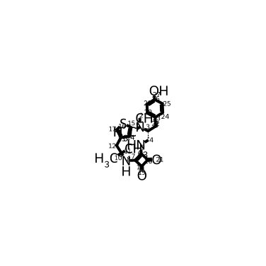 CN(C)[C@@H](CNc1c(NC(C)(C)Cc2ccsc2)c(=O)c1=O)Cc1ccc(O)cc1